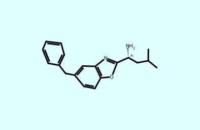 CC(C)C[C@@H](N)c1nc2cc(Cc3ccccc3)ccc2o1